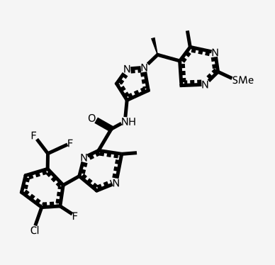 CSc1ncc([C@H](C)n2cc(NC(=O)c3nc(-c4c(C(F)F)ccc(Cl)c4F)cnc3C)cn2)c(C)n1